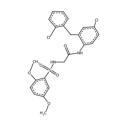 COc1ccc(OC)c(S(=O)(=O)NCC(=O)Nc2ccc(Cl)cc2Cc2ccccc2Cl)c1